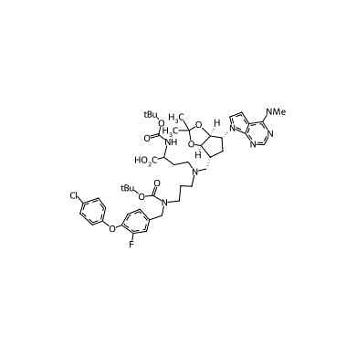 CNc1ncnc2c1ccn2[C@@H]1C[C@H](CN(CCCN(Cc2ccc(Oc3ccc(Cl)cc3)c(F)c2)C(=O)OC(C)(C)C)CCC(NC(=O)OC(C)(C)C)C(=O)O)[C@H]2OC(C)(C)O[C@H]21